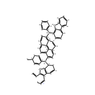 C=Cc1oc2c(c1/C=C\C)C=CCC2N(C1=CCC(C)C=C1)c1ccc2ccc3c(N(c4ccccc4)c4cccc5c4oc4ccccc45)ccc4ccc1c2c43